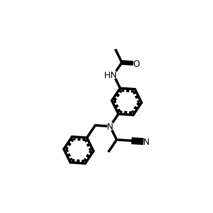 CC(=O)Nc1cccc(N(Cc2ccccc2)C(C)C#N)c1